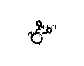 CC1CCCN(CCc2ccc(Cl)cc2)CC(Cc2c[nH]c3ccccc23)NC(=O)CC[C@H](C)C1